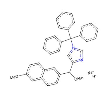 COc1ccc2cc(C(OC)c3cn(C(c4ccccc4)(c4ccccc4)c4ccccc4)cn3)ccc2c1.[H-].[Na+]